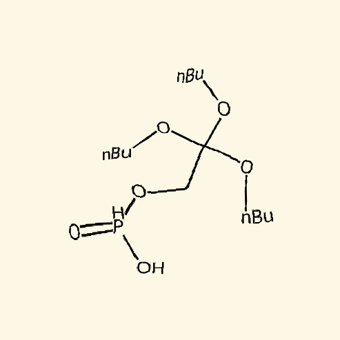 CCCCOC(CO[PH](=O)O)(OCCCC)OCCCC